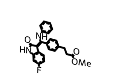 COC(=O)CCc1ccc(/C(Nc2ccccc2)=C2/C(=O)Nc3cc(F)ccc32)cc1